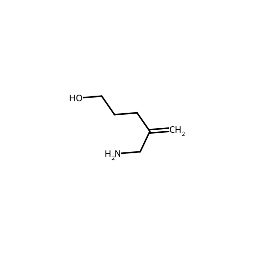 C=C(CN)CCCO